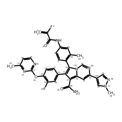 C=C(F)C(=O)Nc1ccc(-c2c(-c3ccc(Oc4nccc(C)n4)c(F)c3)c(C(N)=O)c3cc(-c4cnn(C)c4)ncn23)c(C)c1